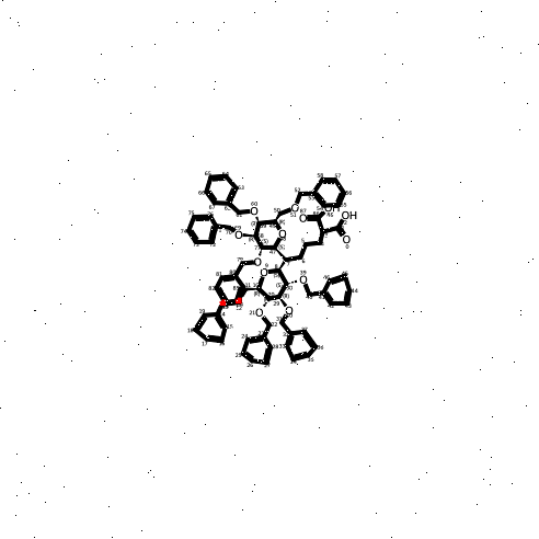 O=C(O)C(CCCC([C@@H]1O[C@H](COCc2ccccc2)[C@@H](OCc2ccccc2)[C@H](OCc2ccccc2)[C@H]1OCc1ccccc1)[C@@H]1O[C@H](COCc2ccccc2)[C@@H](OCc2ccccc2)[C@H](OCc2ccccc2)[C@H]1OCc1ccccc1)C(=O)O